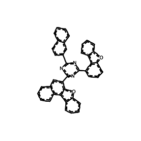 c1ccc2cc(-c3nc(-c4cc5ccccc5c5c4oc4ccccc45)nc(-c4cccc5oc6ccccc6c45)n3)ccc2c1